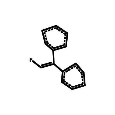 FC=C(c1ccccc1)c1ccccc1